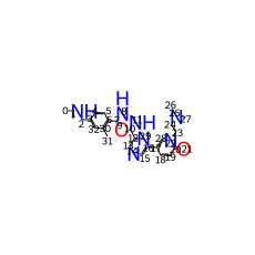 CNCc1ccc(C(=N)OC(=N)c2cncc(-c3ccc(=O)n(CCN(C)C)c3)n2)c(C)c1